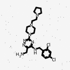 NCc1nnc(N2CCN(CCN3CCCC3)CC2)nc1NCc1ccc(Cl)cc1Cl